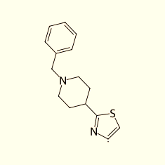 [c]1csc(C2CCN(Cc3ccccc3)CC2)n1